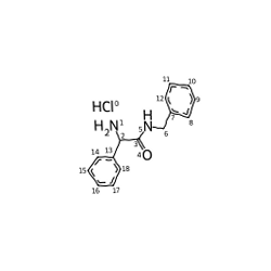 Cl.NC(C(=O)NCc1ccccc1)c1ccccc1